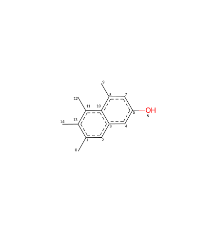 Cc1cc2cc(O)cc(C)c2c(C)c1C